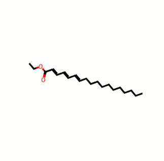 CCCCCCCCCCCC=CC=CC=CC(=O)OCC